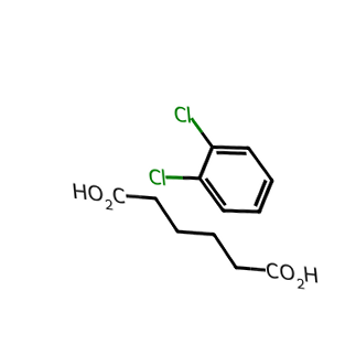 Clc1ccccc1Cl.O=C(O)CCCCC(=O)O